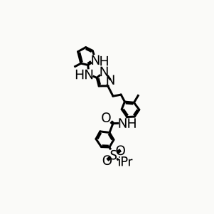 Cc1ccc(NC(=O)c2cccc(S(=O)(=O)C(C)C)c2)cc1CCc1cc(Nc2ncccc2C)[nH]n1